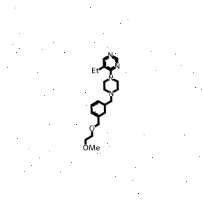 CCc1cncnc1N1CCN(CC2C=CC=C(COCCOC)C2)CC1